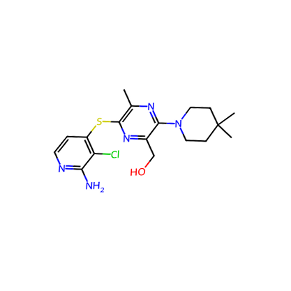 Cc1nc(N2CCC(C)(C)CC2)c(CO)nc1Sc1ccnc(N)c1Cl